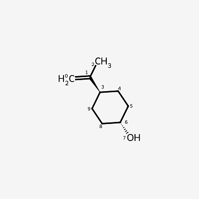 C=C(C)[C@H]1CC[C@H](O)CC1